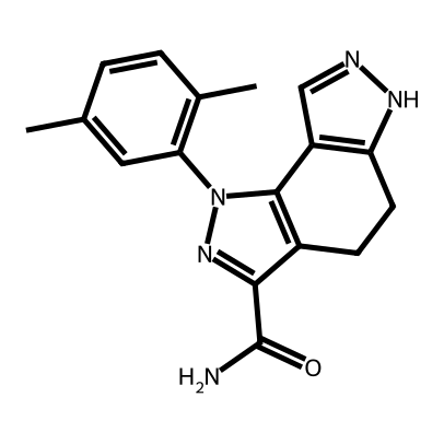 Cc1ccc(C)c(-n2nc(C(N)=O)c3c2-c2cn[nH]c2CC3)c1